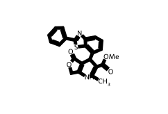 COC(=O)C1=C(C)NC2=C(C(=O)OC2)C1c1cccc2nc(-c3ccccc3)sc12